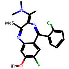 CSC1=Nc2cc(OC(C)C)c(F)cc2C(c2ccccc2Cl)=NC1=C(C)N(C)C